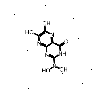 O=c1[nH]c(N(O)O)nc2nc(O)c(O)nc12